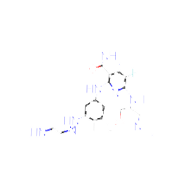 COC[C@H](CN)Nc1nc(Nc2cccc(N/N=C\C=N)c2)c(C(N)=O)cc1F